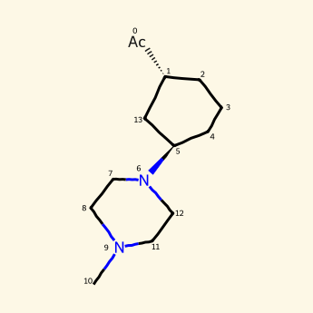 CC(=O)[C@@H]1CCC[C@@H](N2CCN(C)CC2)C1